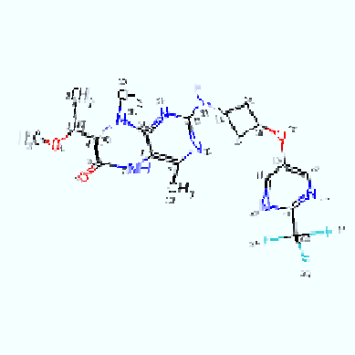 CO[C@@H](C)[C@H]1C(=O)Nc2c(C)nc(N[C@H]3C[C@H](Oc4cnc(C(F)(F)F)nc4)C3)nc2N1C